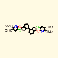 COc1nc(O[C@H]2CCc3c(-c4cccc5c4CC[C@@H]5Oc4nc(OC)c(C=O)cc4Cl)cccc32)c(Cl)cc1C=O